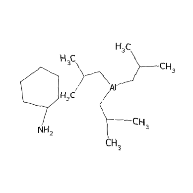 CC(C)[CH2][Al]([CH2]C(C)C)[CH2]C(C)C.NC1CCCCC1